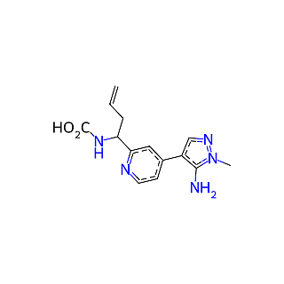 C=CCC(NC(=O)O)c1cc(-c2cnn(C)c2N)ccn1